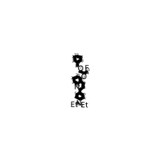 CCN(CC)c1ccc(-c2ccc3c(OC(CF)COCc4ccccc4)cccc3n2)cc1